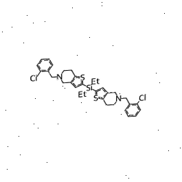 CC[Si](CC)(c1cc2c(s1)CCN(Cc1ccccc1Cl)C2)c1cc2c(s1)CCN(Cc1ccccc1Cl)C2